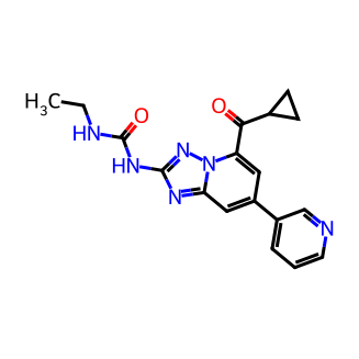 CCNC(=O)Nc1nc2cc(-c3cccnc3)cc(C(=O)C3CC3)n2n1